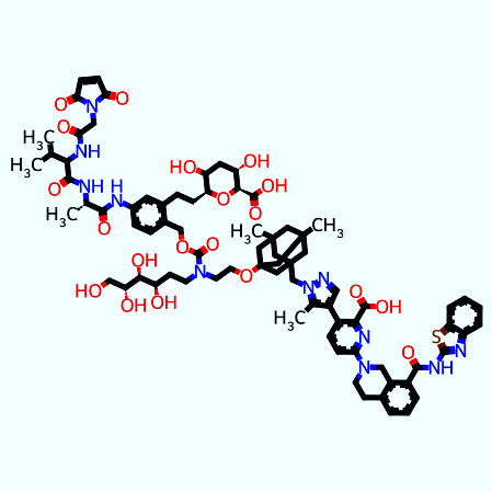 Cc1c(-c2ccc(N3CCc4cccc(C(=O)Nc5nc6ccccc6s5)c4C3)nc2C(=O)O)cnn1CC12CC3(C)CC(C)(C1)CC(OCCN(CC[C@@H](O)[C@H](O)[C@H](O)CO)C(=O)OCc1ccc(NC(=O)[C@H](C)NC(=O)C(NC(=O)CN4C(=O)C=CC4=O)C(C)C)cc1CC[C@@H]1O[C@H](C(=O)O)[C@@H](O)CC1O)(C3)C2